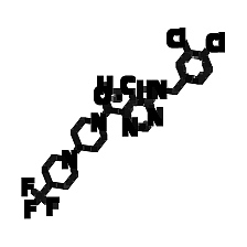 Cc1c(NCc2ccc(Cl)c(Cl)c2)ncnc1C(=O)N1CCC(N2CCC(C(F)(F)F)CC2)CC1